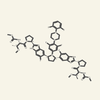 COC(=O)N[C@H](C(=O)N1CCC[C@H]1c1nc2cc([C@@H]3CC[C@@H](c4cc5nc([C@@H]6CCCN6C(=O)[C@@H](NC(=O)OC)[C@@H](C)OC)[nH]c5cc4F)N3c3cc(F)c(N4CCN(c5c(F)cccc5F)CC4)c(F)c3)c(F)cc2[nH]1)[C@@H](C)OC